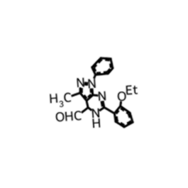 CCOc1ccccc1C1=Nc2c(c(C)nn2-c2ccccc2)C(C=O)N1